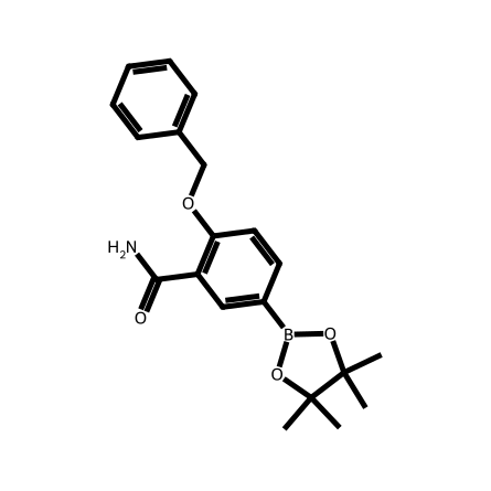 CC1(C)OB(c2ccc(OCc3ccccc3)c(C(N)=O)c2)OC1(C)C